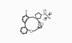 CS(=O)(=O)N[C@H]1CC[C@@]2(Cc3cc(ccc3F)-c3ccccc3OCc3coc2n3)C1